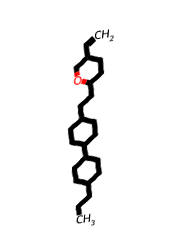 C=CC1CCC(CCC2CCC(C3CCC(CCC)CC3)CC2)OC1